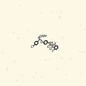 CO/N=C(\COc1ccc(NC(=O)NC(=O)c2c(F)cccc2F)cc1)c1ccc(Cl)cc1